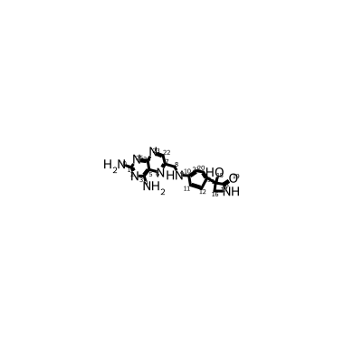 Nc1nc(N)c2nc(CNc3ccc(C4(O)CNC4=O)cc3)cnc2n1